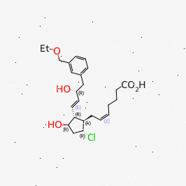 CCOCc1cccc(C[C@@H](O)/C=C/[C@@H]2[C@@H](C/C=C\CCCC(=O)O)[C@H](Cl)C[C@H]2O)c1